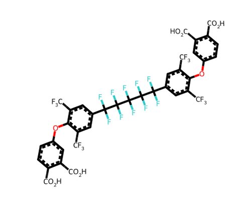 O=C(O)c1ccc(Oc2c(C(F)(F)F)cc(C(F)(F)C(F)(F)C(F)(F)C(F)(F)C(F)(F)c3cc(C(F)(F)F)c(Oc4ccc(C(=O)O)c(C(=O)O)c4)c(C(F)(F)F)c3)cc2C(F)(F)F)cc1C(=O)O